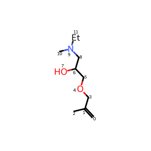 C=C(C)COCC(O)CN(C)CC